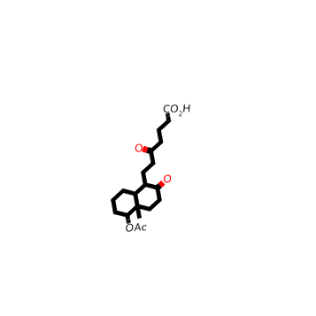 CC(=O)OC1CCCC2C(CCC(=O)CCCC(=O)O)C(=O)CCC12C